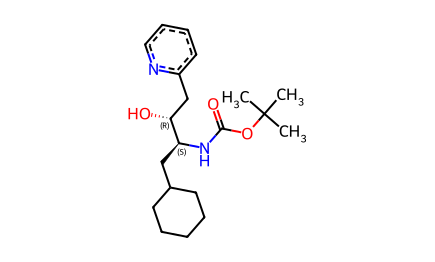 CC(C)(C)OC(=O)N[C@@H](CC1CCCCC1)[C@H](O)Cc1ccccn1